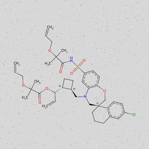 C=CCOC(C)(C)C(=O)NS(=O)(=O)c1ccc2c(c1)N(C[C@@H]1CC[C@H]1C(C=C)OC(=O)C(C)(C)OCC=C)C[C@@]1(CCCc3cc(Cl)ccc31)CO2